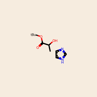 CC(O)C(=O)OC(C)(C)C.c1c[nH]cn1